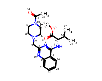 COC(=O)[C@@H](Nc1nc(CN2CCN(C(C)=O)CC2)nc2ccccc12)C(C)C